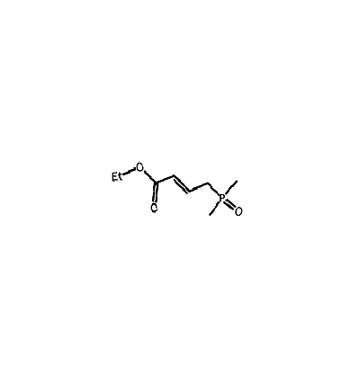 CCOC(=O)/C=C/CP(C)(C)=O